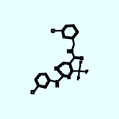 O=C(NCc1cccc(Cl)c1)c1cnc(Nc2cccc(Cl)c2)nc1C(F)(F)F